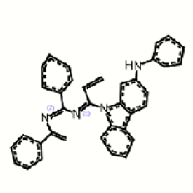 C=C/C(=N\C(=N/C(=C)c1ccccc1)c1ccccc1)n1c2ccccc2c2ccc(Nc3ccccc3)cc21